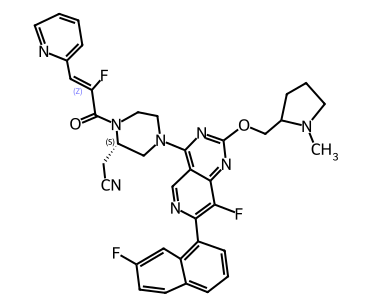 CN1CCCC1COc1nc(N2CCN(C(=O)/C(F)=C/c3ccccn3)[C@@H](CC#N)C2)c2cnc(-c3cccc4ccc(F)cc34)c(F)c2n1